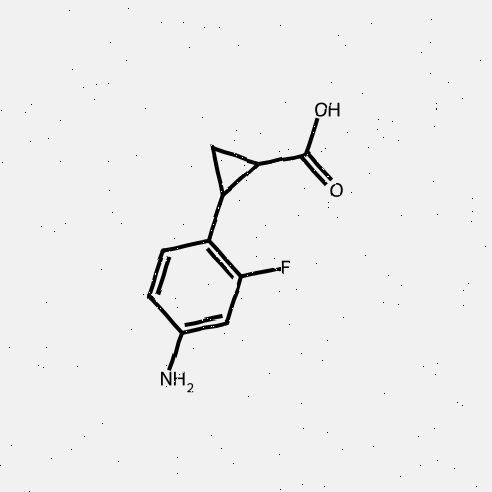 Nc1ccc(C2CC2C(=O)O)c(F)c1